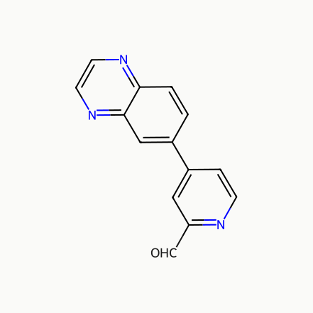 O=Cc1cc(-c2ccc3nccnc3c2)ccn1